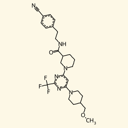 COCC1CCN(c2cc(N3CCCC(C(=O)NCCc4ccc(C#N)cc4)C3)nc(C(F)(F)F)n2)CC1